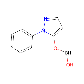 OBOc1ccnn1-c1ccccc1